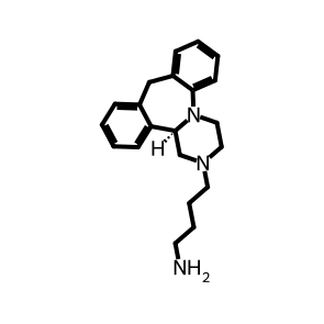 NCCCCN1CCN2c3ccccc3Cc3ccccc3[C@@H]2C1